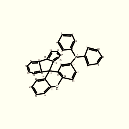 c1ccc(P(c2ccccc2)c2ccc3c(c2)C2(c4ccccc4O3)c3ccccc3-c3ccccc32)cc1